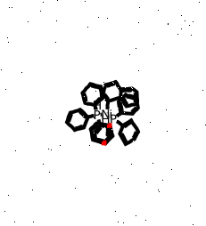 c1ccc([PH](c2ccccc2)(c2ccccc2)[Ni]([c]2cccc3ccccc23)[PH](c2ccccc2)(c2ccccc2)c2ccccc2)cc1